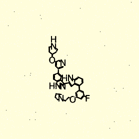 Fc1cc(OCCN2CCCC2)cc(-c2cccc3[nH]c(-c4n[nH]c5ccc(-c6cncc(OC7CCNCC7)c6)cc45)cc23)c1